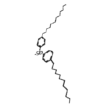 CCCCCCCCCCCCc1cc[c]([Sb]([CH3])[c]2ccc(CCCCCCCCCCCC)cc2)cc1